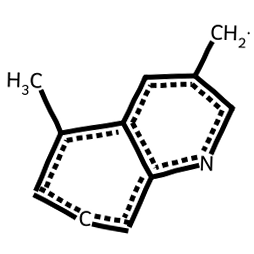 [CH2]c1cnc2cccc(C)c2c1